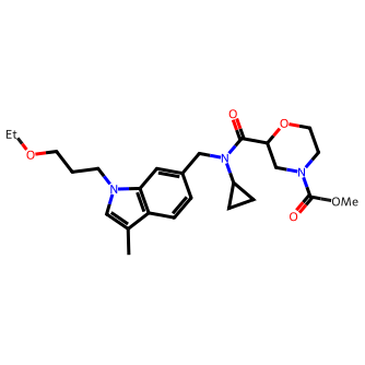 CCOCCCn1cc(C)c2ccc(CN(C(=O)C3CN(C(=O)OC)CCO3)C3CC3)cc21